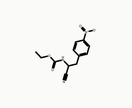 CCOC(=O)NC(C#N)Cc1ccc([N+](=O)[O-])cc1